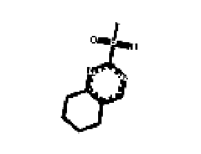 CS(=O)(=O)c1ncc2c(n1)CCCC2